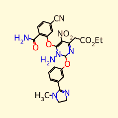 CCOC(=O)CC1=NC(Oc2cccc(C3=NCCN3C)c2)N(N)C(Oc2cc(C#N)ccc2C(N)=O)=C1[N+](=O)[O-]